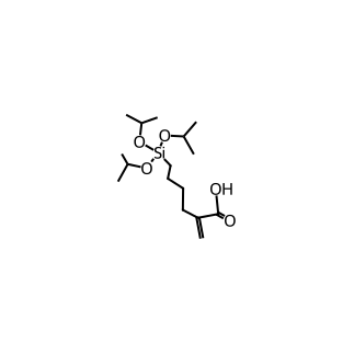 C=C(CCCC[Si](OC(C)C)(OC(C)C)OC(C)C)C(=O)O